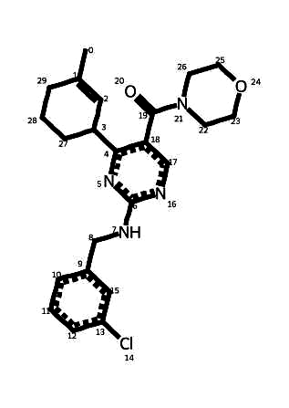 CC1=CC(c2nc(NCc3cccc(Cl)c3)ncc2C(=O)N2CCOCC2)CCC1